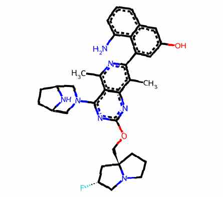 Cc1c(-c2cc(O)cc3cccc(N)c23)nc(C)c2c(N3CC4CCC(C3)N4)nc(OC[C@@]34CCCN3C[C@H](F)C4)nc12